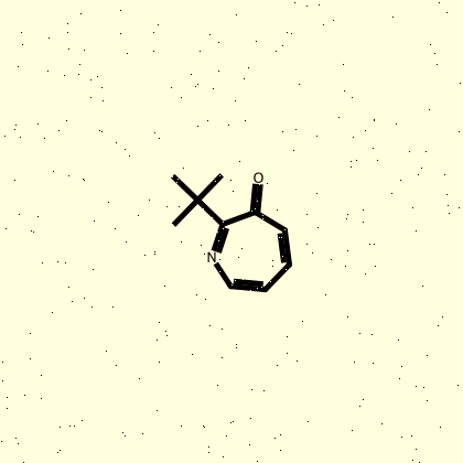 CC(C)(C)c1nccccc1=O